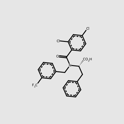 O=C(O)[C@H](Cc1ccccc1)N(Cc1cccc(C(F)(F)F)c1)C(=O)c1ccc(Cl)cc1Cl